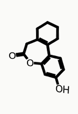 O=C1CC2=C(CCCC2)c2ccc(O)cc2O1